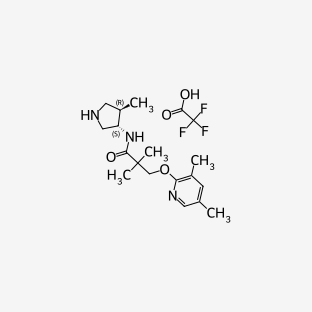 Cc1cnc(OCC(C)(C)C(=O)N[C@@H]2CNC[C@H]2C)c(C)c1.O=C(O)C(F)(F)F